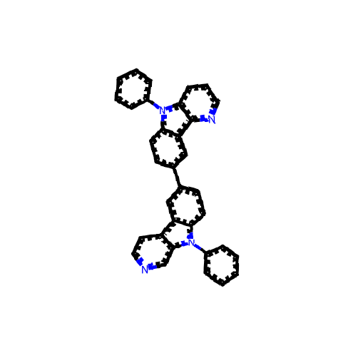 c1ccc(-n2c3ccc(-c4ccc5c(c4)c4ncccc4n5-c4ccccc4)cc3c3ccncc32)cc1